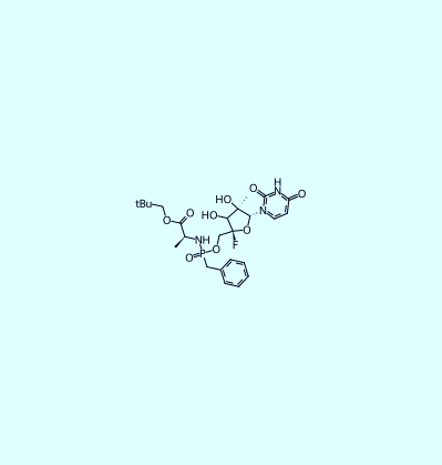 C[C@H](NP(=O)(Cc1ccccc1)OC[C@@]1(F)O[C@@H](n2ccc(=O)[nH]c2=O)[C@](C)(O)C1O)C(=O)OCC(C)(C)C